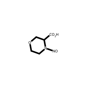 O=NN1CCOCC1C(=O)O